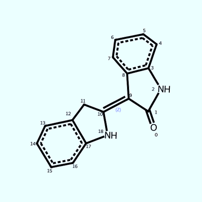 O=C1Nc2ccccc2/C1=C1\Cc2ccccc2N1